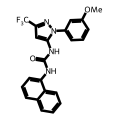 COc1cccc(-n2nc(C(F)(F)F)cc2NC(=O)Nc2cccc3ccccc23)c1